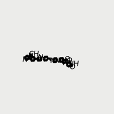 Cn1c2ccncc2c2ccc(-c3ccc(N4CCC(CCN5CCN(c6ccc7c(c6)CN(C6CCC(=O)NC6=O)C7=O)CC5)CC4)nc3)cc21